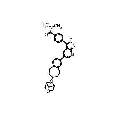 CN(C)C(=O)c1ccc(-c2[nH]nc3ncc(-c4ccc5c(c4)CC[C@@H](N4C6COCC4C6)CC5)cc23)cc1